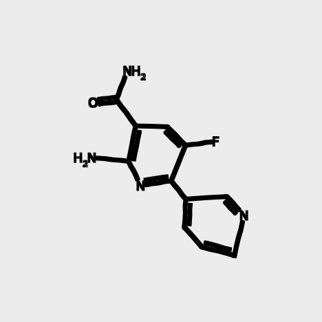 NC(=O)c1cc(F)c(-c2cccnc2)nc1N